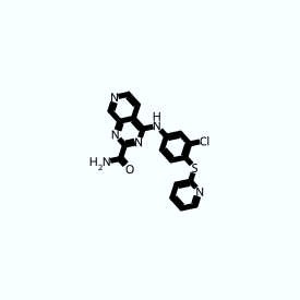 NC(=O)c1nc(Nc2ccc(Sc3ccccn3)c(Cl)c2)c2c[c]ncc2n1